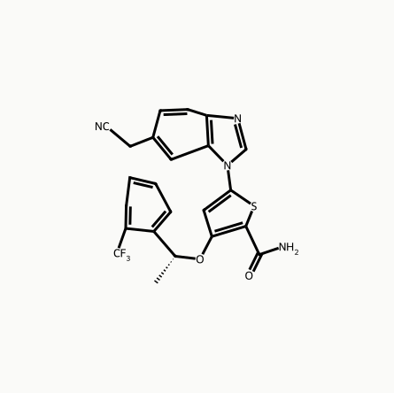 C[C@@H](Oc1cc(-n2cnc3ccc(CC#N)cc32)sc1C(N)=O)c1ccccc1C(F)(F)F